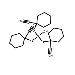 C#CC1(O[Si](C)(OC2(C#C)CCCCC2)OC2(C#C)CCCCC2)CCCCC1